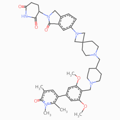 COc1cc(-c2cc(C)c(=O)n(C)c2C)cc(OC)c1CN1CCC(CN2CCC3(CC2)CN(c2ccc4c(c2)C(=O)N(C2CCC(=O)NC2=O)C4)C3)CC1